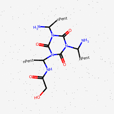 CCCCCC(N)n1c(=O)n(C(N)CCCCC)c(=O)n(C(CCCCC)NC(=O)CO)c1=O